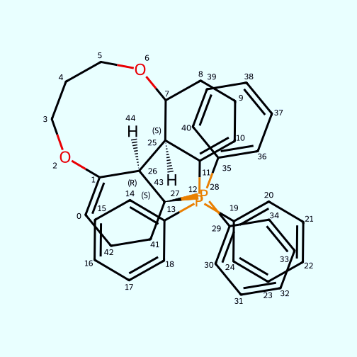 C1=C2OCCCOC3CCC=C(P(c4ccccc4)c4ccccc4)[C@H]3[C@H]2[C@@H](P(c2ccccc2)c2ccccc2)CC1